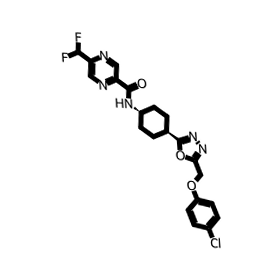 O=C(N[C@H]1CC[C@H](c2nnc(COc3ccc(Cl)cc3)o2)CC1)c1cnc(C(F)F)cn1